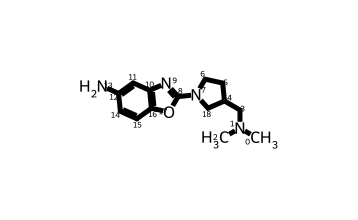 CN(C)CC1CCN(c2nc3cc(N)ccc3o2)C1